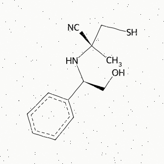 C[C@@](C#N)(CS)N[C@@H](CO)c1ccccc1